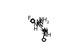 Nc1nc(CSc2nnc(NCC3CCCC3)s2)nc(Nc2ccc(F)cc2)n1